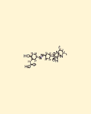 Cc1cc(C)nc(NS(=O)(=O)c2ccc(/N=N/c3ccc(O)c(CC(=O)O)c3)cc2)n1